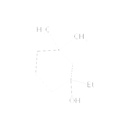 CCC1(O)CCCC(C)(C)C1